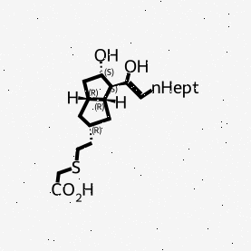 CCCCCCCC=C(O)[C@H]1[C@@H]2C[C@H](CCSCC(=O)O)C[C@@H]2C[C@@H]1O